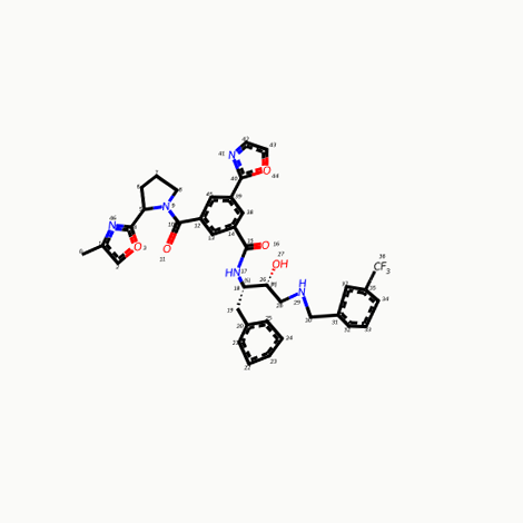 Cc1coc(C2CCCN2C(=O)c2cc(C(=O)N[C@@H](Cc3ccccc3)[C@H](O)CNCc3cccc(C(F)(F)F)c3)cc(-c3ncco3)c2)n1